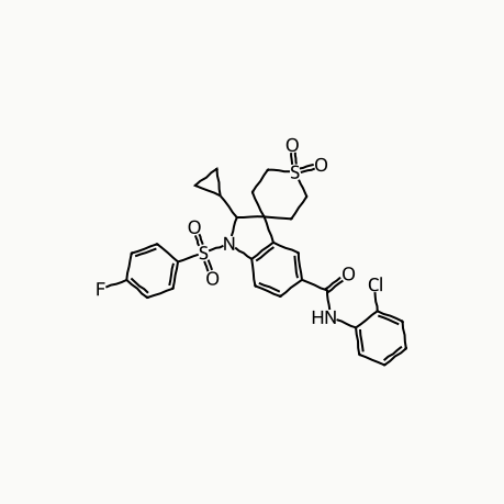 O=C(Nc1ccccc1Cl)c1ccc2c(c1)C1(CCS(=O)(=O)CC1)C(C1CC1)N2S(=O)(=O)c1ccc(F)cc1